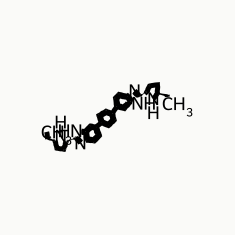 CC[C@@H]1CC[C@@H](c2nc3ccc(-c4ccc(-c5ccc6nc([C@@H]7CC[C@@H](CC)N7)[nH]c6c5)cc4)cc3[nH]2)N1